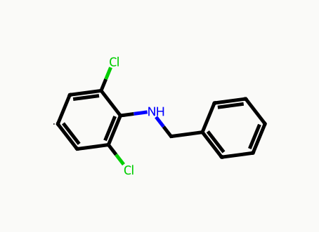 Clc1c[c]cc(Cl)c1NCc1ccccc1